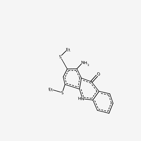 CCSc1cc(SCC)c2[nH]c3ccccc3c(=O)c2c1N